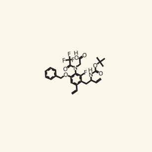 C=Cc1cc(OCc2ccccc2)c(N(CC(=O)O)C(=O)C(F)(F)F)c(F)c1CC(C=C)NC(=O)OC(C)(C)C